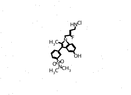 Cc1c(-c2cccc(S(=O)(=O)N(C)C)c2)c2cc(O)ccc2n1C/C(F)=C/CNCl